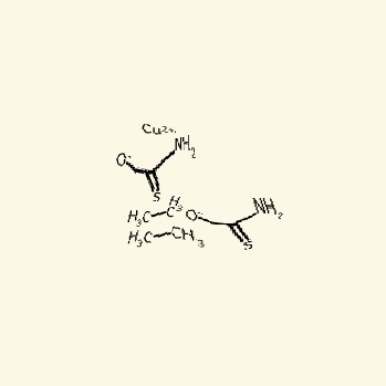 CC.CC.NC([O-])=S.NC([O-])=S.[Cu+2]